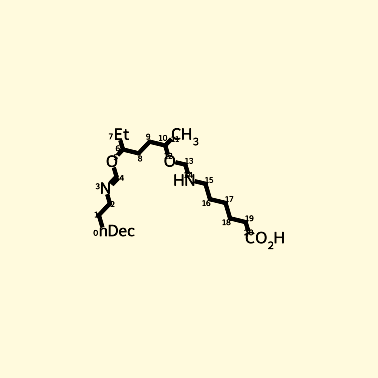 CCCCCCCCCCCC/N=C/OC(CC)CCC(C)OCNCCCCCC(=O)O